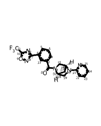 O=C(c1cccc(-c2noc(C(F)(F)F)n2)c1)N1C[C@@H]2C[C@H]1CN2c1ccccn1